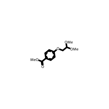 COC(=O)c1ccc(OCC(OC)OC)cc1